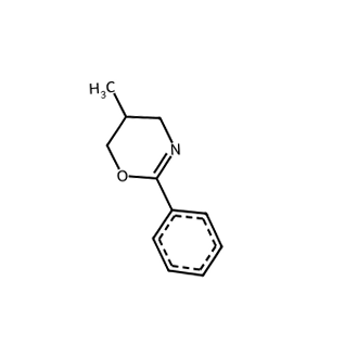 CC1CN=C(c2ccccc2)OC1